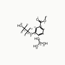 COC(=O)c1cccc(OC(C)(C)C(C)(C)O)c1.OB(O)O